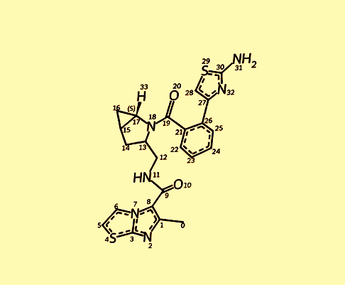 Cc1nc2sccn2c1C(=O)NCC1CC2C[C@@H]2N1C(=O)c1ccccc1-c1csc(N)n1